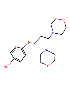 C1COCC[N]1.Oc1ccc(SCCCN2CCOCC2)cc1